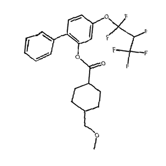 COCC1CCC(C(=O)Oc2cc(OC(F)(F)C(F)C(F)(F)F)ccc2-c2ccccc2)CC1